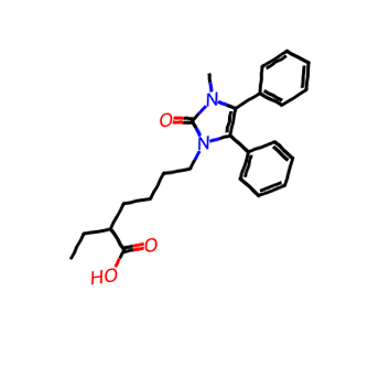 CCC(CCCCn1c(-c2ccccc2)c(-c2ccccc2)n(C)c1=O)C(=O)O